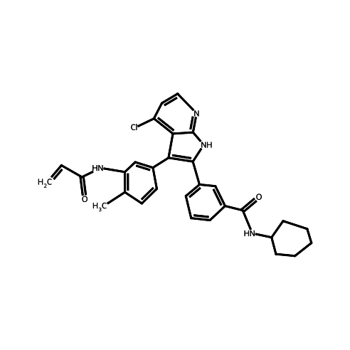 C=CC(=O)Nc1cc(-c2c(-c3cccc(C(=O)NC4CCCCC4)c3)[nH]c3nccc(Cl)c23)ccc1C